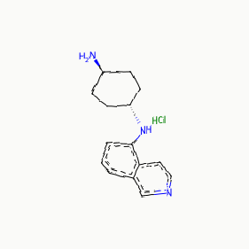 Cl.N[C@H]1CC[C@H](Nc2cccc3cnccc23)CC1